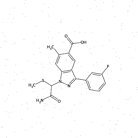 CSC(C(N)=O)n1nc(-c2cccc(F)c2)c2cc(C(=O)O)c(C)cc21